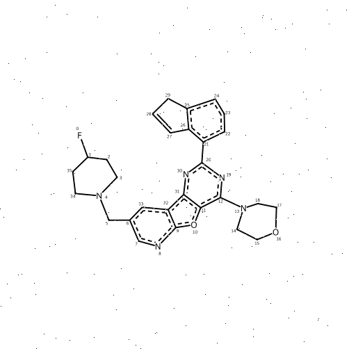 FC1CCN(Cc2cnc3oc4c(N5CCOCC5)nc(-c5cccc6c5C=CC6)nc4c3c2)CC1